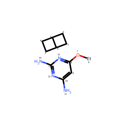 C1CC2CCC12.CCOc1cc(N)nc(N)n1